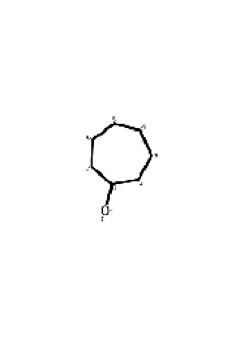 [O]C1CCCCCC1